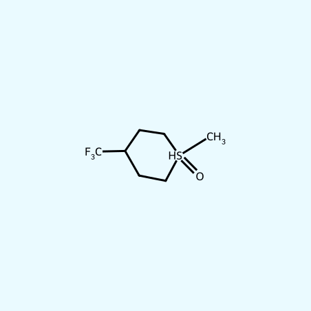 C[SH]1(=O)CCC(C(F)(F)F)CC1